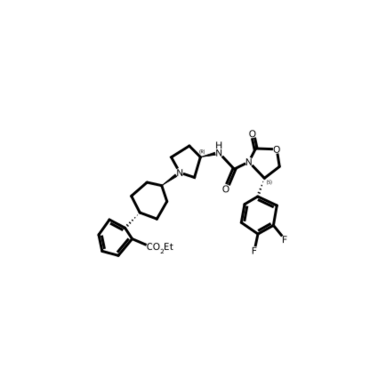 CCOC(=O)c1ccccc1[C@H]1CC[C@H](N2CC[C@@H](NC(=O)N3C(=O)OC[C@@H]3c3ccc(F)c(F)c3)C2)CC1